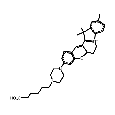 Cc1ccc2c(c1)C(C)(C)C1=[N+]2CCC2Oc3cc(N4CCN(CCCCCC(=O)O)CC4)ccc3C=C12